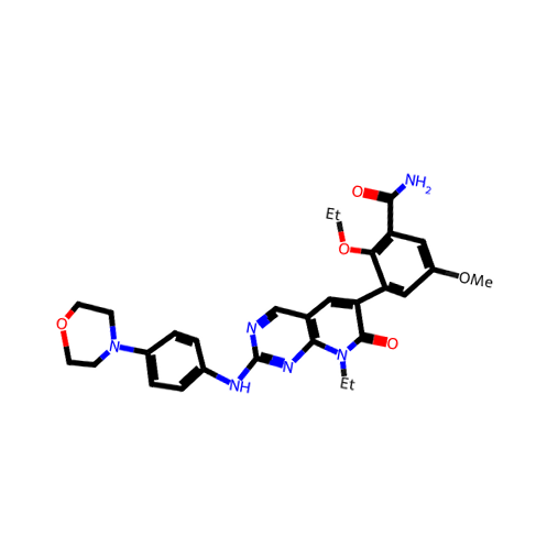 CCOc1c(C(N)=O)cc(OC)cc1-c1cc2cnc(Nc3ccc(N4CCOCC4)cc3)nc2n(CC)c1=O